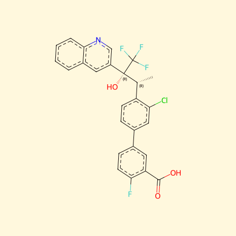 C[C@H](c1ccc(-c2ccc(F)c(C(=O)O)c2)cc1Cl)[C@@](O)(c1cnc2ccccc2c1)C(F)(F)F